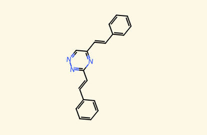 C(=Cc1cnnc(C=Cc2ccccc2)n1)c1ccccc1